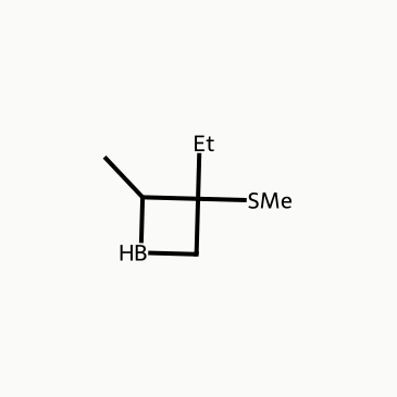 CCC1(SC)CBC1C